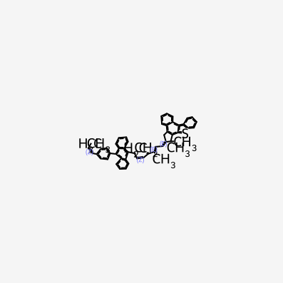 C=C(/C=C\C(=C)c1c2ccccc2c(-c2ccc(/C=C\C)c(C)c2)c2ccccc12)/C(C)=C/C=C1\Cc2c(c3sc4ccccc4c3c3ccccc23)C1(C)C